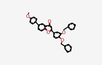 COc1ccc(-c2ccc3oc(-c4ccc(OCc5ccccc5)c(OCc5ccccc5)c4)cc(=O)c3c2)cc1